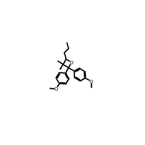 CCCC1OC(c2ccc(OC)cc2)(c2ccc(OC)cc2)C1(C)C